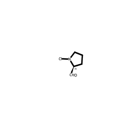 O=C[C@@H]1CCCN1Cl